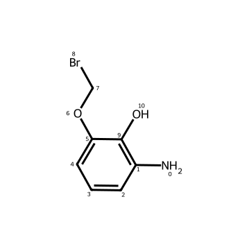 Nc1cccc(OCBr)c1O